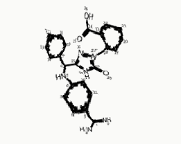 N=C(N)c1ccc(NC(c2ccccc2)c2nn(-c3ccccc3C(=O)O)c(=O)[nH]2)cc1